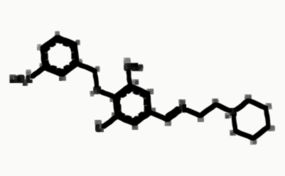 CCOC(=O)c1cccc(COc2c(Cl)cc(/C=N/CCN3CCCCC3)cc2OC)c1